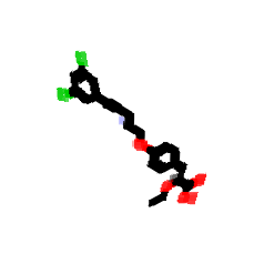 CCO[C@@H](Cc1ccc(OC/C=C/C#Cc2cc(Cl)cc(Cl)c2)cc1)C(=O)O